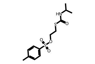 Cc1ccc(S(=O)(=O)OCCSC(=O)NC(C)C)cc1